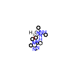 CN1C(c2ccccc2)NC(c2ccccc2)NC1c1cccc(-n2c3c(c4c2N(c2ccccc2)c2ccccc2-c2nccnc2-4)CCC=C3)c1